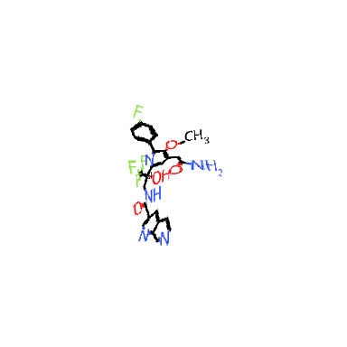 CCOc1c(CC(N)=O)cc([C@@](O)(CNC(=O)c2cnc3cnccc3c2)C(F)(F)F)nc1-c1ccc(F)cc1